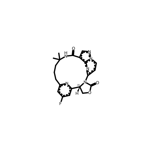 CC1(C)CCCc2cc(F)cc(n2)[C@H]2COC(=O)N2c2ccn3ncc(c3n2)C(=O)N1